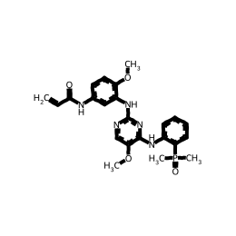 C=CC(=O)Nc1ccc(OC)c(Nc2ncc(OC)c(Nc3ccccc3P(C)(C)=O)n2)c1